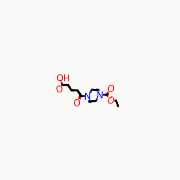 CCOC(=O)N1CCN(C(=O)CCCC(=O)O)CC1